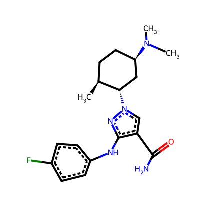 C[C@H]1CC[C@@H](N(C)C)C[C@@H]1n1cc(C(N)=O)c(Nc2ccc(F)cc2)n1